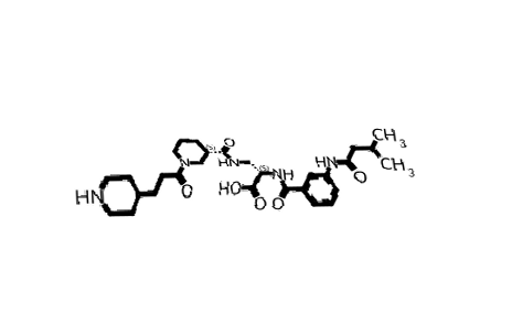 CC(C)CC(=O)Nc1cccc(C(=O)N[C@@H](CNC(=O)[C@H]2CCCN(C(=O)CCC3CCNCC3)C2)C(=O)O)c1